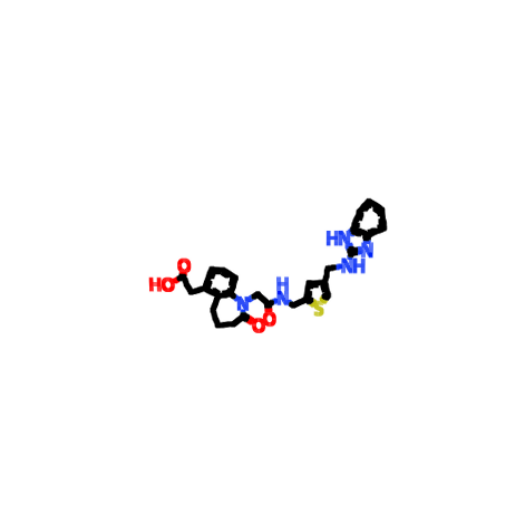 O=C(O)Cc1cccc2c1CCCC(=O)N2CC(=O)NCc1cc(CNc2nc3ccccc3[nH]2)cs1